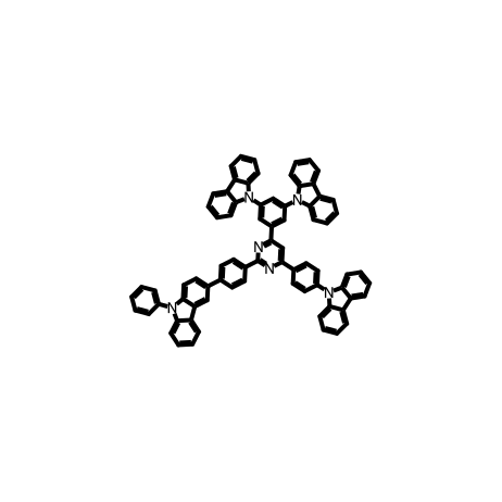 c1ccc(-n2c3ccccc3c3cc(-c4ccc(-c5nc(-c6ccc(-n7c8ccccc8c8ccccc87)cc6)cc(-c6cc(-n7c8ccccc8c8ccccc87)cc(-n7c8ccccc8c8ccccc87)c6)n5)cc4)ccc32)cc1